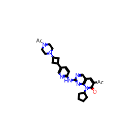 CC(=O)c1cc2cnc(Nc3ccc(C4CC(N5CCN(C(C)=O)CC5)C4)cn3)nc2n(C2CCCC2)c1=O